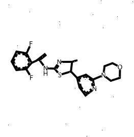 C=C(NC1=NC(C)C(c2ccnc(N3CCOCC3)c2)S1)c1c(F)cccc1F